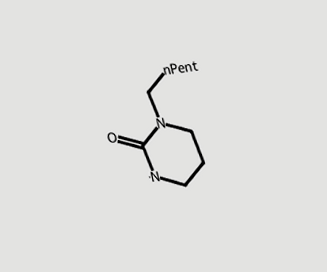 CCCCCCN1CCC[N]C1=O